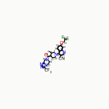 CC1CN(c2c(C#N)cnc3cc(OCC(F)F)ccc23)CCC1C(=O)N1CCn2c(nnc2C(F)(F)F)C1